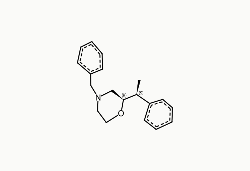 C[C@@H](c1ccccc1)[C@@H]1CN(Cc2ccccc2)CCO1